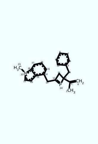 C=C(C)C1(Cc2ccccc2)CC(Cc2cccc3c2ccn3C)=P1